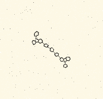 c1ccc(-n2c3ccccc3c3cc(-c4ccc(-c5ccc(-c6ccc(-c7ccc8c(c7)c7ccccc7n8-c7ccccc7)cc6)cc5)cc4)ccc32)cc1